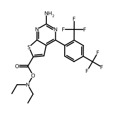 CCN(CC)OC(=O)c1cc2c(-c3ccc(C(F)(F)F)cc3C(F)(F)F)nc(N)nc2s1